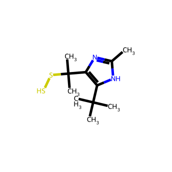 Cc1nc(C(C)(C)SS)c(C(C)(C)C)[nH]1